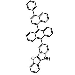 C1=CC2Nc3c(oc4ccccc34)N2C=C1c1c2ccccc2c(-c2ccc(-c3ccccc3)c3ccccc23)c2ccccc12